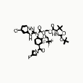 CC(C)(C)OC(=O)N[C@H](C(=O)OCOC(=O)N(C1=NN2C=CC(Cl)=CC2N1)c1ccc(C(=O)N2CC(F)C2)cc1OCC(F)(F)F)C(C)(C)C